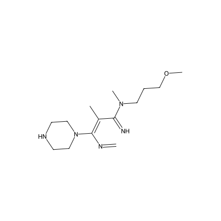 C=N/C(=C(/C)C(=N)N(C)CCCOC)N1CCNCC1